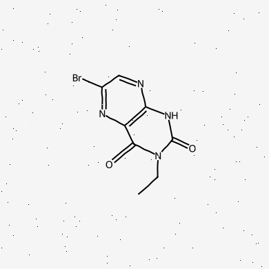 CCn1c(=O)[nH]c2ncc(Br)nc2c1=O